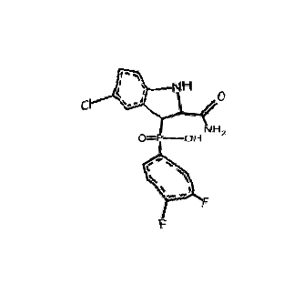 NC(=O)C1Nc2ccc(Cl)cc2C1P(=O)(O)c1ccc(F)c(F)c1